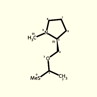 CSC(C)OC[C@@H]1CCCN1C